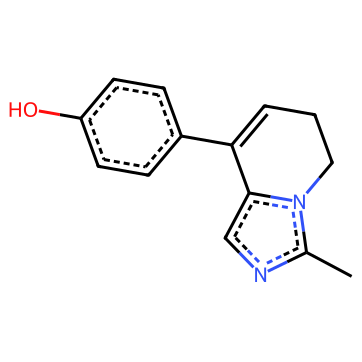 Cc1ncc2n1CCC=C2c1ccc(O)cc1